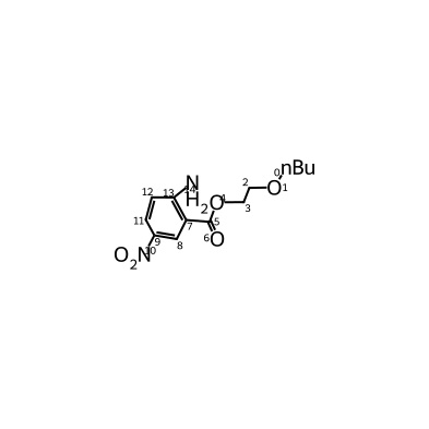 CCCCOCCOC(=O)c1cc([N+](=O)[O-])ccc1N